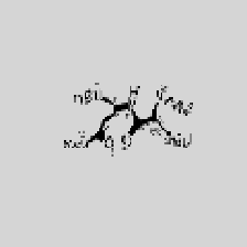 CCCC[C@H](NC)C(=O)N[C@H](CCCC)C(=O)NC